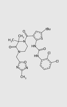 Cc1noc(CN2CCN(C(=O)c3cc(C(C)(C)C)sc3NC(=O)Nc3cccc(Cl)c3Cl)C(C)(C)C2=O)n1